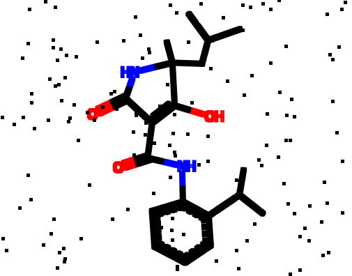 CC(C)CC1(C)NC(=O)C(C(=O)Nc2ccccc2C(C)C)=C1O